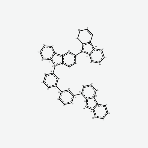 C1=Cc2c(n(-c3ccc4c(c3)c3ccccc3n4-c3cccc(-c4cccc(-c5cccc6c5sc5ncccc56)c4)c3)c3ccccc23)CC1